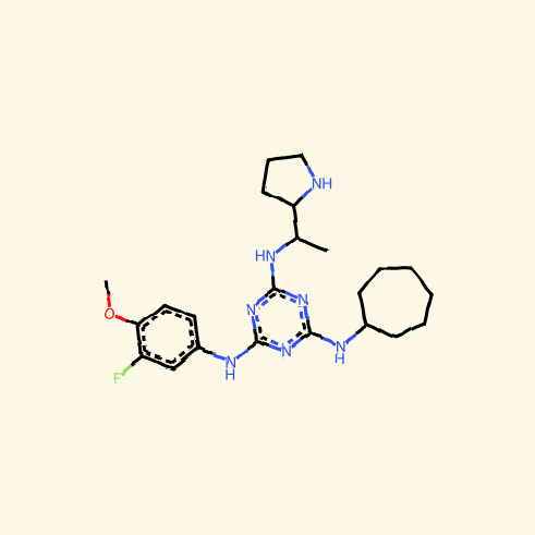 COc1ccc(Nc2nc(NC3CCCCCC3)nc(NC(C)C3CCCN3)n2)cc1F